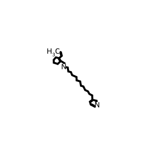 C/C=C\C1=C(/C=N/CCCCCCCCCCCCCc2cccnc2)CCCC1